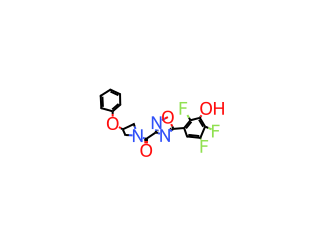 O=C(c1noc(-c2cc(F)c(F)c(O)c2F)n1)N1CC(Oc2ccccc2)C1